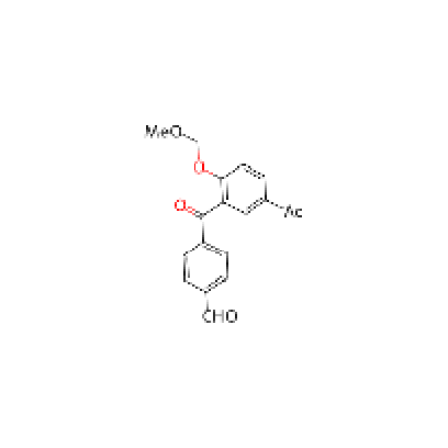 COCOc1ccc(C(C)=O)cc1C(=O)c1ccc(C=O)cc1